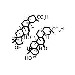 CC1(C)[C@@H](O)CC[C@]2(C)[C@H]3C(=O)C=C4[C@@H]5C[C@@](C)(C(=O)O)CC[C@]5(C)CC[C@@]4(C)[C@]3(C)CC[C@@H]12.CC1(C)[C@@H](O)CC[C@]2(C)[C@H]3C(=O)C=C4[C@@H]5C[C@@](C)(C(=O)O)CC[C@]5(C)CC[C@@]4(C)[C@]3(C)CC[C@@H]12